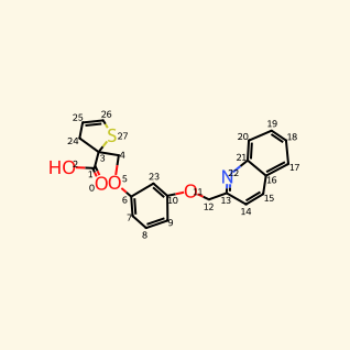 O=C(O)C1(COc2cccc(OCc3ccc4ccccc4n3)c2)CC=CS1